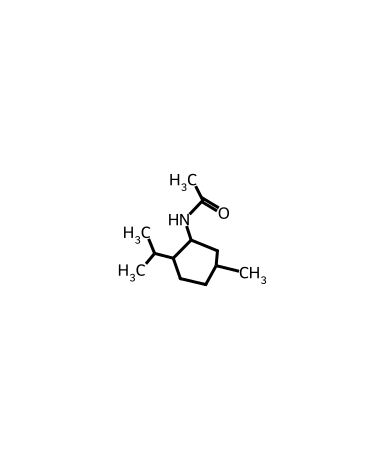 CC(=O)NC1CC(C)CCC1C(C)C